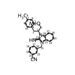 COCC(Cc1ccc(C)cc1)n1c(=N)n(Cc2cccc(C#N)c2)c2ccccc21